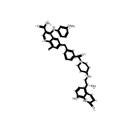 COc1cccc(Nc2c(C(N)=O)cnc3c(C)cc(Cc4cccc(C(=O)N5CCC(NC[C@H](O)c6ccc(O)c7[nH]c(=O)ccc67)CC5)c4)cc23)c1